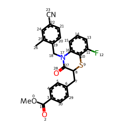 COC(=O)c1ccc(CC2Sc3c(F)cccc3N(Cc3ccc(C#N)cc3C)C2=O)cc1